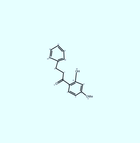 COc1ccc(C(=O)CCc2ccccn2)c(O)c1